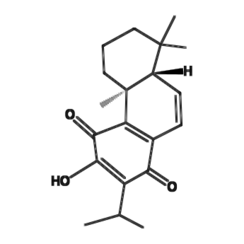 CC(C)C1=C(O)C(=O)C2=C(C=C[C@H]3C(C)(C)CCC[C@]23C)C1=O